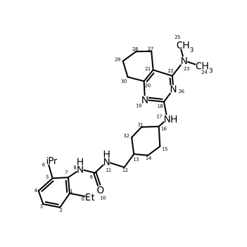 CCc1cccc(C(C)C)c1NC(=O)NCC1CCC(Nc2nc3c(c(N(C)C)n2)CCCC3)CC1